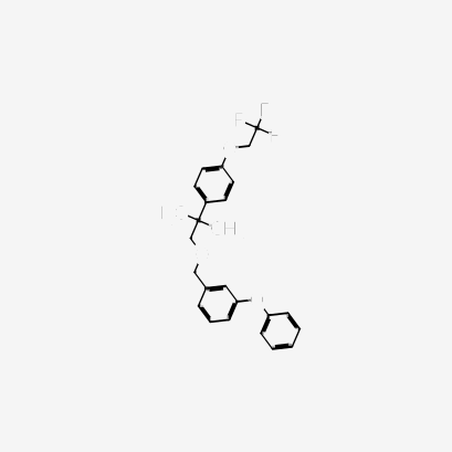 CC(C)(COCc1cccc(Oc2ccccc2)c1)c1ccc(OCC(F)(F)F)cc1